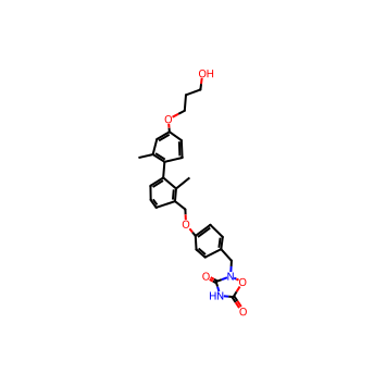 Cc1cc(OCCCO)ccc1-c1cccc(COc2ccc(Cn3oc(=O)[nH]c3=O)cc2)c1C